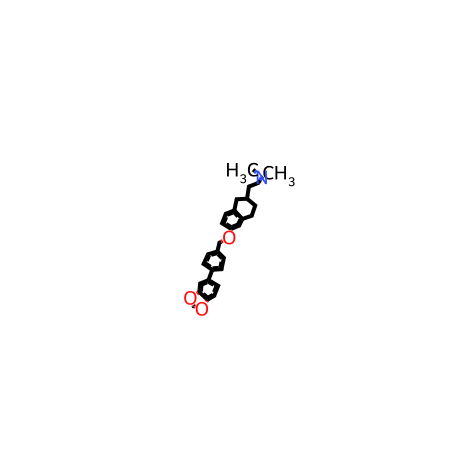 CN(C)CCC1CCc2cc(OCc3ccc(-c4ccc5c(c4)OCO5)cc3)ccc2C1